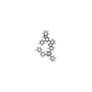 c1ccc(-c2cccc(-c3nc(-c4ccccc4)nc(-c4ccc5c(c4)oc4c(-c6cc(-c7ccccc7)c7oc8ccccc8c7c6)cccc45)n3)c2)cc1